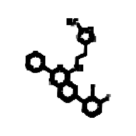 Cc1nc(CCNc2nc(-c3cccnc3)nc3ccc(-c4cccc(F)c4F)cc23)no1